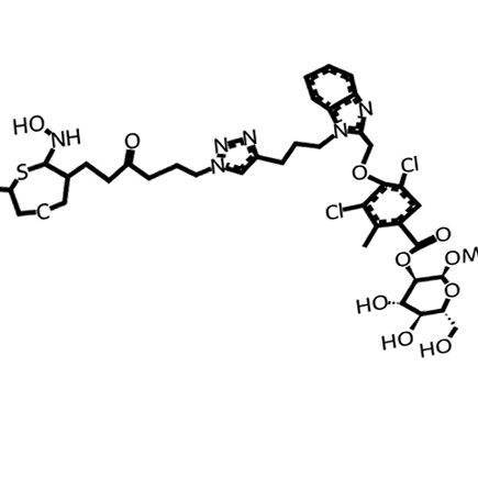 CO[C@H]1O[C@H](CO)[C@@H](O)[C@H](O)[C@H]1OC(=O)c1cc(Cl)c(OCc2nc3ccccc3n2CCCc2cn(CCCC(=O)CCC3CCCC(I)SC3NO)nn2)c(Cl)c1C